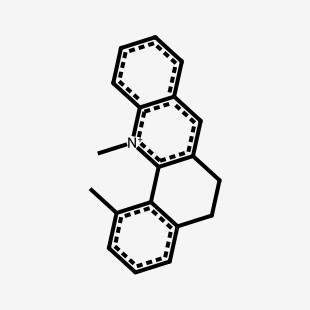 Cc1cccc2c1-c1c(cc3ccccc3[n+]1C)CC2